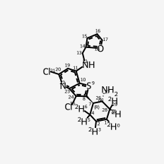 [2H]C1=C([2H])C([2H])([2H])[C@@H](c2sc3c(NCc4ccco4)cc(Cl)nc3c2Cl)[C@H](N)C1([2H])[2H]